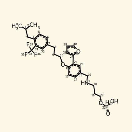 CC(C)Cc1ccc(CCCOc2ccc(CNCCCO[PH](=O)O)cc2-c2ccco2)cc1C(F)(F)F